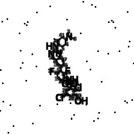 CN(C)C1CCC(Nc2ncc3cc(-c4c(F)ccc(NS(=O)(=O)c5cc(Cl)cc(CO)c5Cl)c4F)ccc3n2)CC1